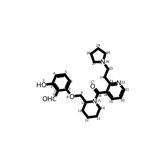 O=Cc1c(O)cccc1OCC1CCCCN1C(=O)c1cccnc1CCN1CCCC1